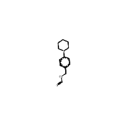 O=[C]NCc1ccc(N2CCCCC2)cc1